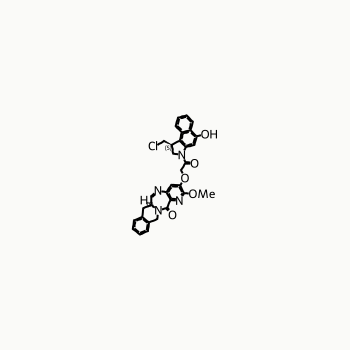 COc1nc2c(cc1OCC(=O)N1C[C@@H](CCl)c3c1cc(O)c1ccccc31)N=C[C@@H]1Cc3ccccc3CN1C2=O